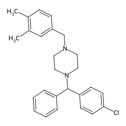 Cc1ccc(CN2CCN(C(c3ccccc3)c3ccc(Cl)cc3)CC2)cc1C